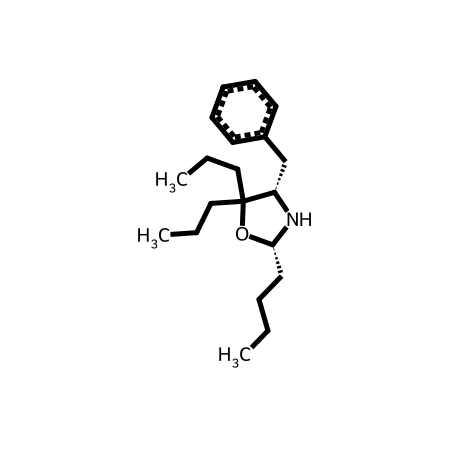 CCCC[C@H]1N[C@@H](Cc2ccccc2)C(CCC)(CCC)O1